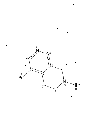 CC(C)c1cncc2c1CCN(C(C)C)C2